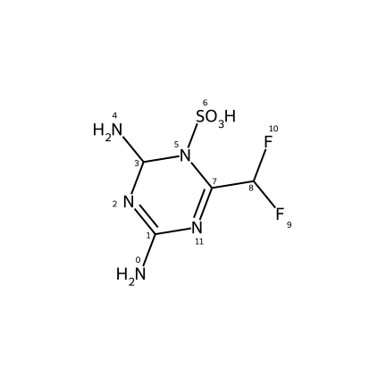 NC1=NC(N)N(S(=O)(=O)O)C(C(F)F)=N1